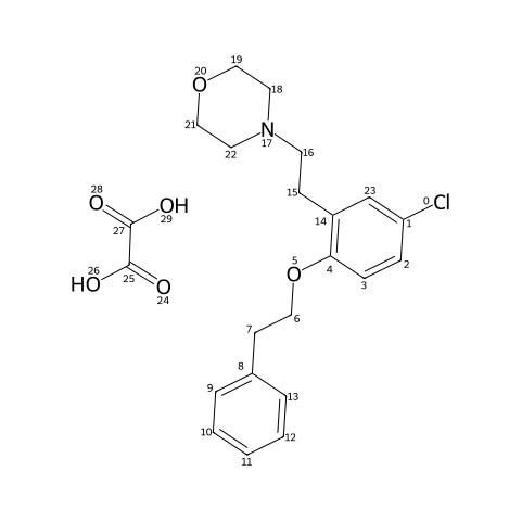 Clc1ccc(OCCc2ccccc2)c(CCN2CCOCC2)c1.O=C(O)C(=O)O